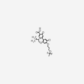 CC(C)C1COc2cc(OCCCOC(F)(F)F)c(Cl)cc2-c2cc(=O)c(C(=O)O)cn21